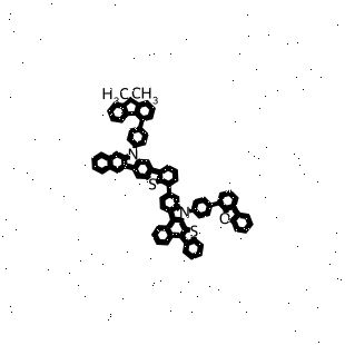 CC1(C)c2ccccc2-c2c(-c3ccc(-n4c5cc6ccccc6cc5c5cc6sc7c(-c8ccc9c%10c%11ccccc%11c%11c%12ccccc%12sc%11c%10n(-c%10ccc(-c%11cccc%12c%11oc%11ccccc%11%12)cc%10)c9c8)cccc7c6cc54)cc3)cccc21